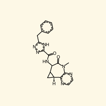 CN1C(=O)C(NC(=O)c2nnc(Cc3ccccc3)[nH]2)C2C[C@H]2c2nccnc21